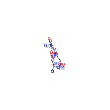 CN[C@@H](C)C(=O)N[C@H](C(=O)N1CCC[C@H]1CN(CCc1ccccc1)C(=O)[C@H](N)Cc1ccc(OC)cc1)[C@@H](C)OCC#CC#CCO[C@H](C)[C@H](NC(=O)[C@H](C)NC)C(=O)N1CCC[C@H]1CN(CCc1ccccc1)C(=O)[C@H](N)Cc1ccc(OC)cc1